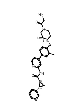 Cc1cc(-c2ccnc(NC(=O)[C@H]3C[C@@H]3c3cccnc3)c2)ccc1O[C@H]1CCN(C(=O)CO)CC1(F)F